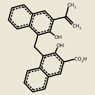 C=C(C)c1cc2ccccc2c(Cc2c(O)c(C(=O)O)cc3ccccc23)c1O